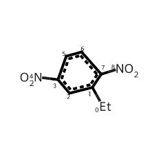 CCc1cc([N+](=O)[O-])ccc1[N+](=O)[O-]